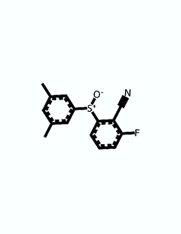 Cc1cc(C)cc([S+]([O-])c2cccc(F)c2C#N)c1